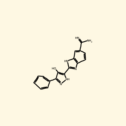 N=C(N)c1ccc2nc(-c3[nH]nc(-c4ccccc4)c3O)[nH]c2c1